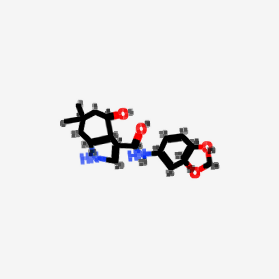 CC1(C)CC(=O)c2c(C(=O)Nc3ccc4c(c3)OCO4)c[nH]c2C1